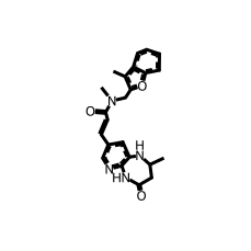 Cc1c(CN(C)C(=O)C=Cc2cnc3c(c2)NC(C)CC(=O)N3)oc2ccccc12